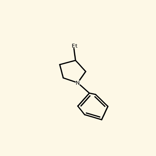 CCC1CCN(c2ccccc2)C1